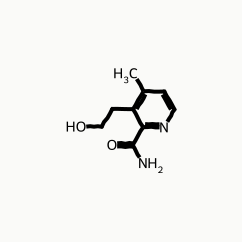 Cc1ccnc(C(N)=O)c1CCO